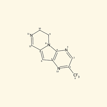 FC(F)(F)c1cnc2c(cc3n2CCN=C3)n1